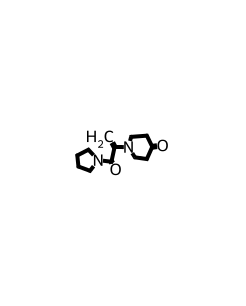 C=C(C(=O)N1CCCC1)N1CCC(=O)CC1